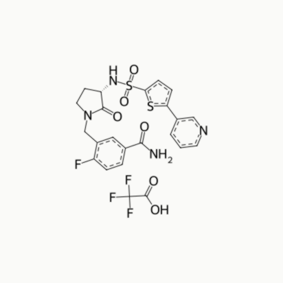 NC(=O)c1ccc(F)c(CN2CC[C@H](NS(=O)(=O)c3ccc(-c4cccnc4)s3)C2=O)c1.O=C(O)C(F)(F)F